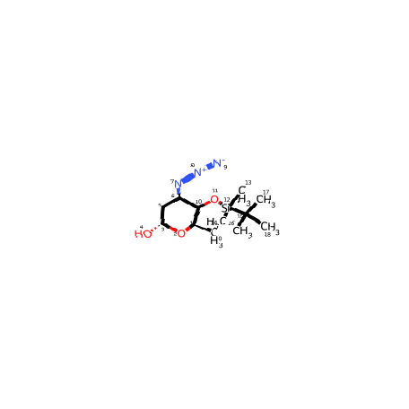 C[C@H]1O[C@H](O)C[C@@H](N=[N+]=[N-])C1O[Si](C)(C)C(C)(C)C